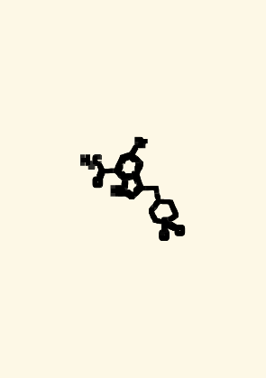 CC(=O)c1cc(Br)cc2c(CC3CCS(=O)(=O)CC3)c[nH]c12